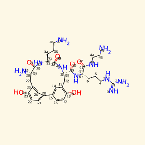 N=C(N)NCCC[C@H](NC(=O)[C@@H]1Cc2cc(ccc2O)-c2ccc(O)c(c2)C[C@H](N)C(=O)N[C@@H](CCCN)C(=O)N1)C(=O)NCCN